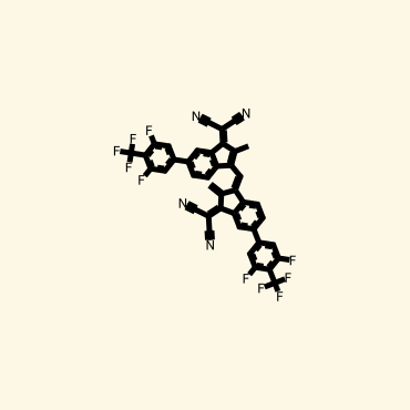 C=C1C(=C(C#N)C#N)c2cc(-c3cc(F)c(C(F)(F)F)c(F)c3)ccc2/C1=C/C1=C(C)C(=C(C#N)C#N)c2cc(-c3cc(F)c(C(F)(F)F)c(F)c3)ccc21